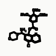 COc1cc(C(=O)Oc2c(C(N)N3CCOCC3)cc(Cl)c3cccnc23)cc(OC)c1OC